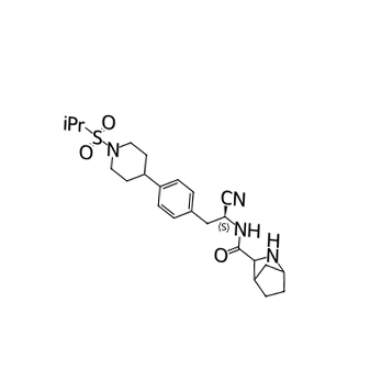 CC(C)S(=O)(=O)N1CCC(c2ccc(C[C@@H](C#N)NC(=O)C3NC4CCC3C4)cc2)CC1